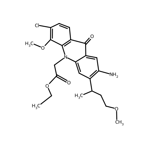 CCOC(=O)Cn1c2cc(C(C)CCOC)c(N)cc2c(=O)c2ccc(Cl)c(OC)c21